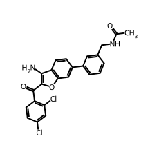 CC(=O)NCc1cccc(-c2ccc3c(N)c(C(=O)c4ccc(Cl)cc4Cl)oc3c2)c1